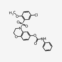 COc1ccc(Cl)cc1S(=O)(=O)N1CCOc2ccc(OC(=O)Nc3ccccc3)cc21